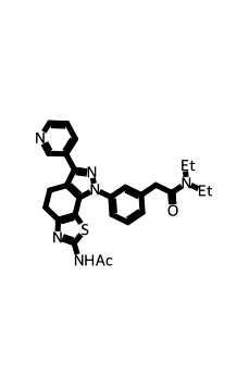 CCN(CC)C(=O)Cc1cccc(-n2nc(-c3cccnc3)c3c2-c2sc(NC(C)=O)nc2CC3)c1